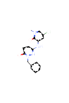 Cn1cc(Cl)cc(Nc2ccc(=O)n(Cc3ccccc3)n2)c1=O